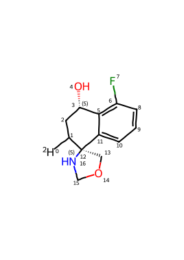 [2H]C1C[C@H](O)c2c(F)cccc2[C@]12COCN2